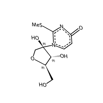 CSc1nc(=O)ccn1[C@@]1(O)CO[C@H](CO)[C@H]1O